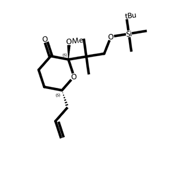 C=CC[C@@H]1CCC(=O)[C@](OC)(C(C)(C)CO[Si](C)(C)C(C)(C)C)O1